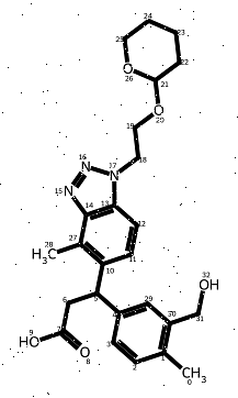 Cc1ccc(C(CC(=O)O)c2ccc3c(nnn3CCOC3CCCCO3)c2C)cc1CO